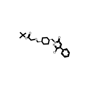 CC(C)(C)OC(=O)COC[C@H]1CC[C@H](Cn2nc(Cl)c(-c3ccccc3)cc2=O)CC1